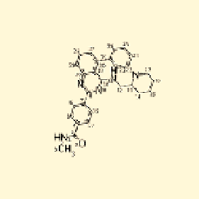 CNC(=O)c1ccc(-c2nc(NCC3CC=CC=N3)c3c(-c4ccccc4)cccc3n2)cc1